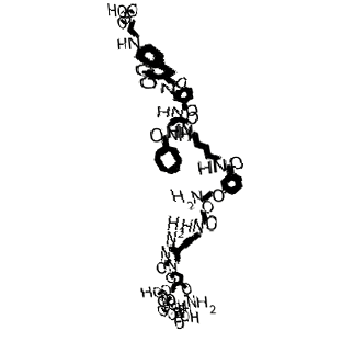 NCOC1CC(n2cc(C#CCNC(=O)COC(N)COc3cccc(C(=O)NCCCCCNC(=O)C(CNC(=O)C4=C/C=C\C=C/C=C\4)NC(=O)c4ccc5oc(-c6cc7ccc(NCCCS(=O)(=O)O)cc7oc6=O)nc5c4)c3)c(N)nc2=O)OC1COP(=O)(O)OP(=O)(O)OP(=O)(O)O